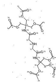 CC(=O)OCC(COC(C)=O)(COC(C)=O)NC(=O)CNCC(=O)NC(COC(C)=O)(COC(C)=O)COC(C)=O